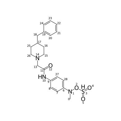 CN(O[SH](=O)=O)c1ccc(NC(=O)CN2CCC(Cc3ccccc3)CC2)cc1